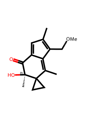 COCC1=C(C)C=C2C(=O)[C@](C)(O)C3(CC3)C(C)=C21